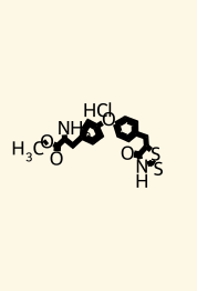 COC(=O)C(N)Cc1ccc(Oc2ccc(CC3SC(=S)NC3=O)cc2)cc1.Cl